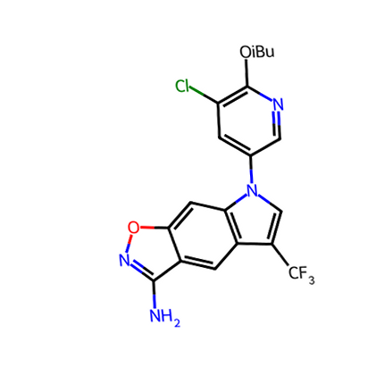 CC(C)COc1ncc(-n2cc(C(F)(F)F)c3cc4c(N)noc4cc32)cc1Cl